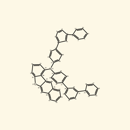 c1ccc(-c2cccc(-c3ccc(N(c4ccc(-c5cccc(-c6ccccc6)c5)cc4)c4cccc5oc6cc7ccccc7cc6c45)cc3)c2)cc1